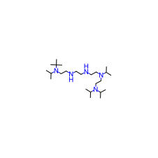 CC(C)N(CCNCCNCCN(C(C)C)C(C)(C)C)CCN(C(C)C)C(C)C